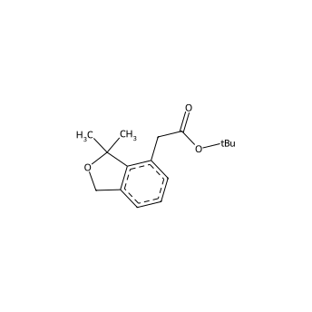 CC(C)(C)OC(=O)Cc1cccc2c1C(C)(C)OC2